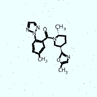 Cc1ccc(-n2nccn2)c(C(=O)N2C[C@H](c3ncc(C)o3)CC[C@H]2C)c1